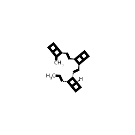 CCC[C@H]1C2CC[C@@H]2[C@H]1CC[C@@H]1C2CCC2[C@@H]1CC[C@H]1C(C)C2CCC21